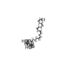 CC/C=C\C/C=C\C/C=C\C/C=C\C/C=C\CCCC1OP(=O)(O)OP(=O)(O)O1